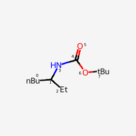 CCCCC(CC)NC(=O)OC(C)(C)C